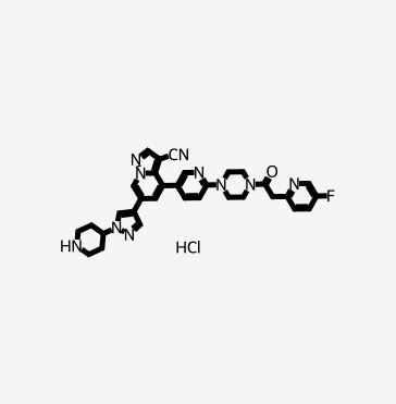 Cl.N#Cc1cnn2cc(-c3cnn(C4CCNCC4)c3)cc(-c3ccc(N4CCN(C(=O)Cc5ccc(F)cn5)CC4)nc3)c12